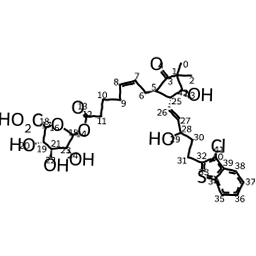 CC1(C)C(=O)[C@H](C/C=C\CCCC(=O)OC2O[C@H](C(=O)O)[C@@H](O)[C@H](O)[C@H]2O)[C@@H](/C=C/C(O)CCc2sc3ccccc3c2Cl)[C@@H]1O